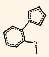 COc1ccccc1-n1cccc1